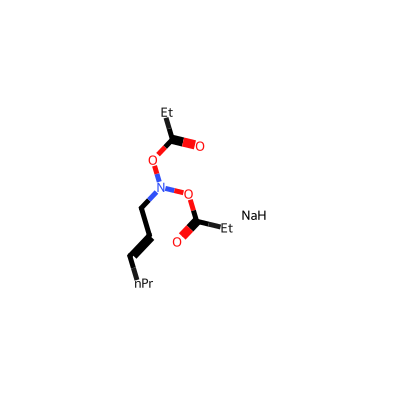 CCCC=CCN(OC(=O)CC)OC(=O)CC.[NaH]